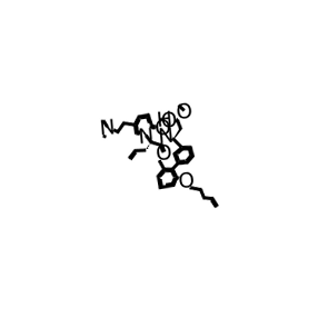 C=CCCCOc1cccc(C)c1-c1cccc([C@H](CC(=O)OC)NC(=O)[C@H](CC=C)n2cc(CCN(C)C)ccc2=O)c1